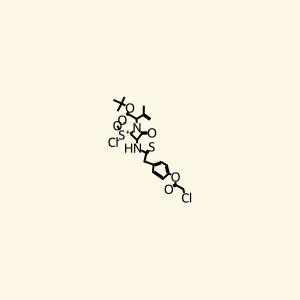 C=C(C)C(C(=O)OC(C)(C)C)N1C(=O)C(NC(=S)Cc2ccc(OC(=O)CCl)cc2)C1[S+]([O-])Cl